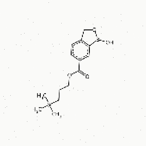 C[Si](C)(C)CCCOC(=O)c1ccc2c(c1)B(O)OC2